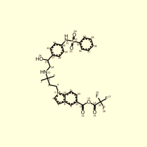 CC(C)(CCn1ccc2cc(C(=O)OC(=O)C(F)(F)F)ccc21)NCC(O)c1ccc(NS(=O)(=O)c2ccccc2)cc1